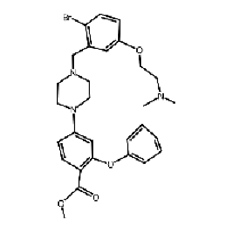 COC(=O)c1ccc(N2CCN(Cc3cc(OCCN(C)C)ccc3Br)CC2)cc1Oc1ccccc1